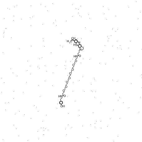 CN(C)c1ccc2c(c1)[SH]=c1cc3c(cc1=N2)CCCN3CCCC(=O)NCCOCCOCCOCCOCCOCCOCCOCCOCCC(=O)NCCc1ccc(O)cc1